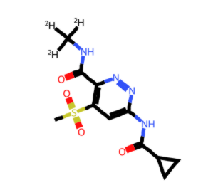 [2H]C([2H])([2H])NC(=O)c1nnc(NC(=O)C2CC2)cc1S(C)(=O)=O